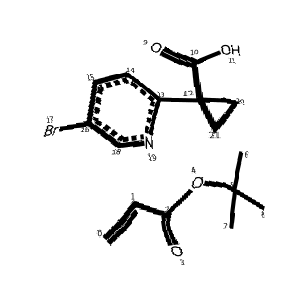 C=CC(=O)OC(C)(C)C.O=C(O)C1(c2ccc(Br)cn2)CC1